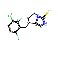 Fc1ccc(Cl)c(F)c1CC1CCn2c1c[nH]c2=S